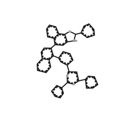 c1ccc(-c2cc(-c3cccc(-c4c(-c5cc6c(c7ccccc57)SC(c5ccccc5)N6)ccc5ccccc45)c3)nc(-c3ccccc3)n2)cc1